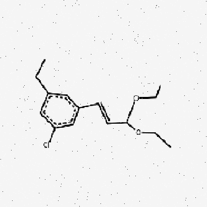 CCOC(/C=C/c1cc(Cl)cc(CC)c1)OCC